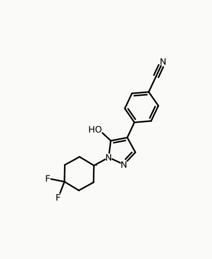 N#Cc1ccc(-c2cnn([C]3CCC(F)(F)CC3)c2O)cc1